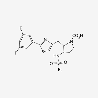 CCS(=O)(=O)NC1CCN(C(=O)O)C1Cc1csc(-c2cc(F)cc(F)c2)n1